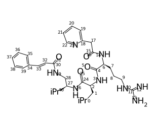 CC(C)C[C@H](NC(=O)[C@H](CCCNC(=N)N)NC(=O)Cc1ccccn1)C(=O)N[C@H](CNC(=O)/C=C/c1ccccc1)C(C)C